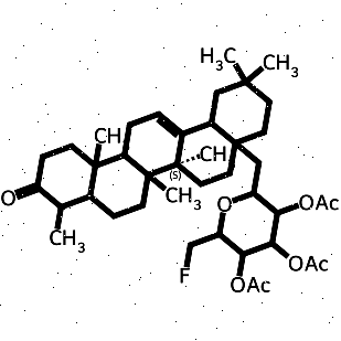 CC(=O)OC1C(CF)OC(CC23CCC(C)(C)CC2C2=CCC4C5(C)CCC(=O)C(C)C5CCC4(C)[C@]2(C)CC3)C(OC(C)=O)C1OC(C)=O